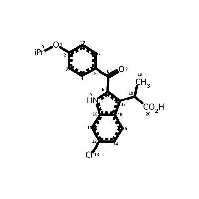 CC(C)Oc1ccc(C(=O)c2[nH]c3cc(Cl)ccc3c2C(C)C(=O)O)cc1